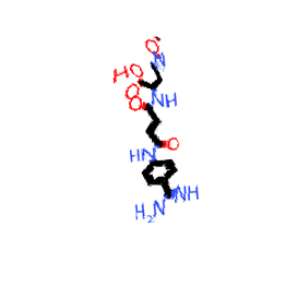 CO/N=C/CC(NC(=O)CCC(=O)Nc1ccc(C(=N)N)cc1)C(=O)O